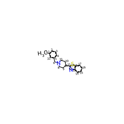 Cc1cccc(CN2CCC(c3nc4ccccc4s3)CC2)c1